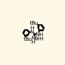 Br.CC(C)(C)c1cccc(NC(=N)Nc2cccc(C(C)(C)C)c2)c1